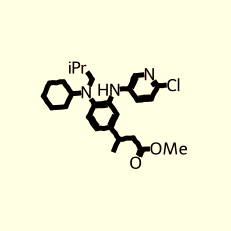 COC(=O)CC(C)c1ccc(N(CC(C)C)C2CCCCC2)c(Nc2ccc(Cl)nc2)c1